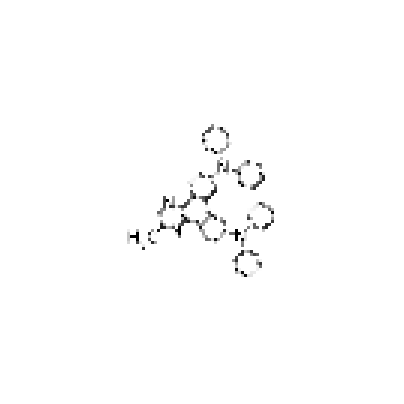 Cc1cnc2c3ccc(N(c4ccccc4)c4ccccc4)cc3c3cc(N(c4ccccc4)c4ccccc4)ccc3c2n1